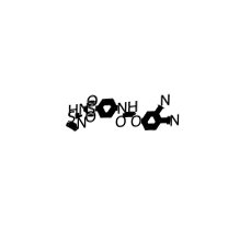 N#Cc1ccc(OCC(=O)Nc2ccc(S(=O)(=O)Nc3nccs3)cc2)cc1C#N